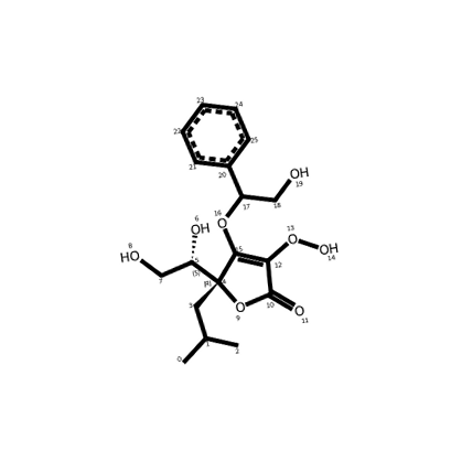 CC(C)C[C@]1([C@@H](O)CO)OC(=O)C(OO)=C1OC(CO)c1ccccc1